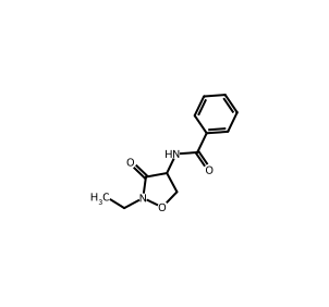 CCN1OCC(NC(=O)c2ccccc2)C1=O